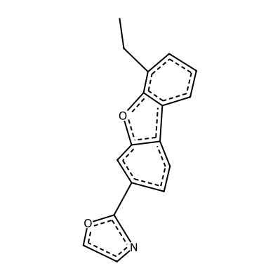 CCc1cccc2c1oc1cc(-c3ncco3)ccc12